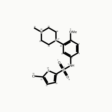 COc1ccc(NS(=O)(=O)c2ccc(Cl)s2)cc1N1CCN(C)CC1